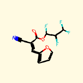 N#CC(=Cc1ccco1)C(=O)OC(F)C(F)C(F)F